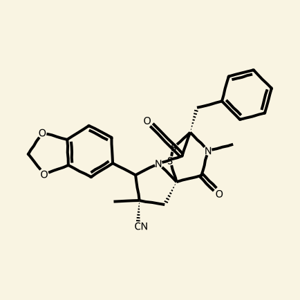 CN1C(=O)[C@@]23C[C@](C)(C#N)C(c4ccc5c(c4)OCO5)N2C(=O)[C@@]1(Cc1ccccc1)SS3